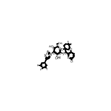 OC[C@H]1O[C@@H](S[C@H](c2nc(Cl)ccc2Cl)C2(O)CCC(F)(F)CC2)[C@H](O)[C@@H](n2cc(-c3cc(F)c(F)c(F)c3)nn2)[C@H]1O